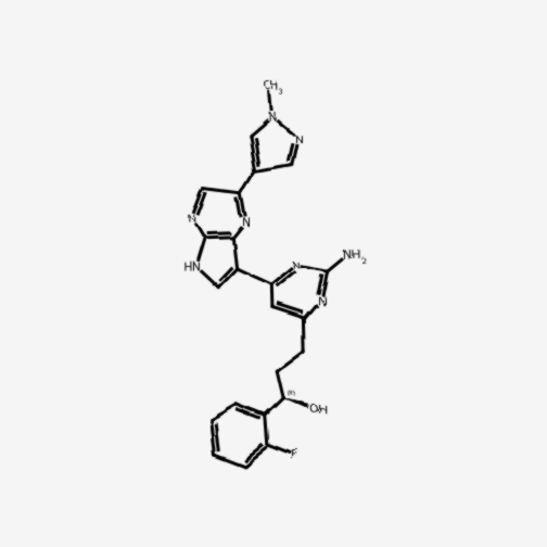 Cn1cc(-c2cnc3[nH]cc(-c4cc(CC[C@@H](O)c5ccccc5F)nc(N)n4)c3n2)cn1